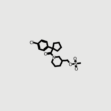 CS(=O)(=O)OCC1CCCN(C(=O)C2(c3ccc(Cl)cc3)CCCC2)C1